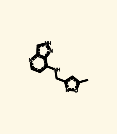 Cc1cc(CNc2ccnc3c[nH]nc23)no1